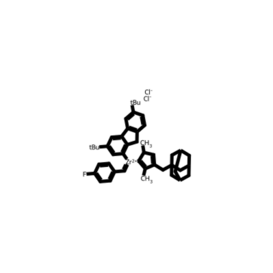 CC1=[C](/[Zr+2](=[CH]/c2ccc(F)cc2)[c]2cc(C(C)(C)C)cc3c2Cc2ccc(C(C)(C)C)cc2-3)C(C)C=C1CC12CC3CC(CC(C3)C1)C2.[Cl-].[Cl-]